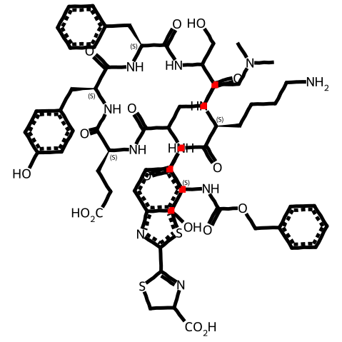 CN(C)CCCCC(NC(=O)[C@H](CO)NC(=O)OCc1ccccc1)C(=O)N[C@@H](CCC(=O)O)C(=O)N[C@@H](Cc1ccc(O)cc1)C(=O)N[C@@H](Cc1ccccc1)C(=O)NC(CO)C(=O)N[C@@H](CCCCN)C(=O)Nc1ccc2nc(C3=NC(C(=O)O)CS3)sc2c1